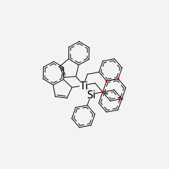 C1=C[CH]([Ti]([CH2]c2ccccc2)([CH2]c2ccccc2)([CH]2C=Cc3ccccc32)=[Si](c2ccccc2)c2ccccc2)c2ccccc21